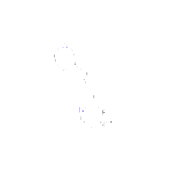 CNC(=O)C(CC=Cc1cccnc1)NC(=O)O